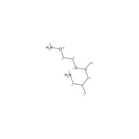 CC(CN)CC(C)OCCON